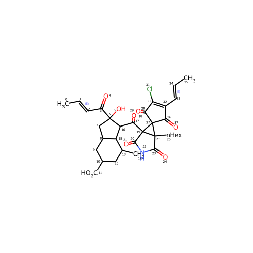 C/C=C/C(=O)C1(O)CC2CC(C(=O)O)CC(C)C2C1C(=O)C12C(=O)NC(=O)C1(CCCCCC)C21C(=O)C(Cl)=C(/C=C/C)C1=O